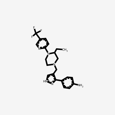 CCC1CN(Cc2c[nH]nc2-c2ccc(N)cc2)CCN1c1ccc(C(F)(F)F)cn1